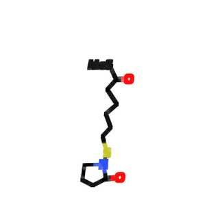 CSC(=O)CCCCCSN1CCCC1=O